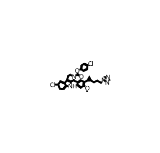 COc1ccc(C2c3[nH]c4c(c3CCN2C(=O)Oc2ccc(Cl)cc2)=CC(Cl)CC=4)cc1C1CC1CCCn1cncn1